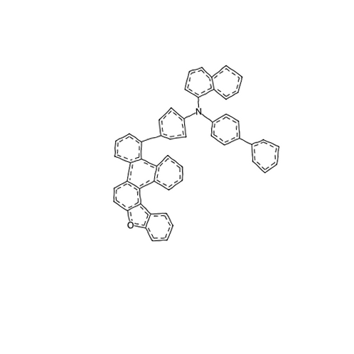 c1ccc(-c2ccc(N(c3ccc(-c4cccc5c6ccc7oc8ccccc8c7c6c6ccccc6c45)cc3)c3cccc4ccccc34)cc2)cc1